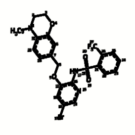 CN1CCOc2cc(COc3cc(Br)cnc3NS(=O)(=O)c3ccccc3C(F)(F)F)ccc21